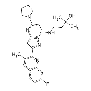 Cc1nc2ccc(F)cc2nc1-c1cc2nc(N3CCCC3)cc(NCCC(C)(C)O)n2n1